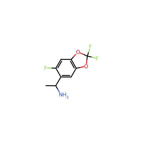 CC(N)c1cc2c(cc1F)OC(F)(F)O2